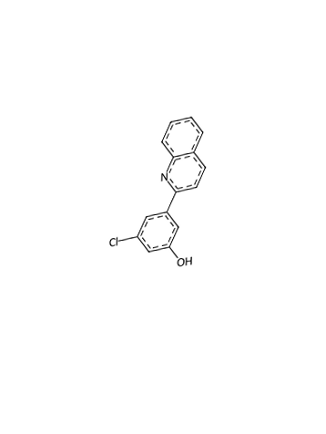 Oc1cc(Cl)cc(-c2ccc3ccccc3n2)c1